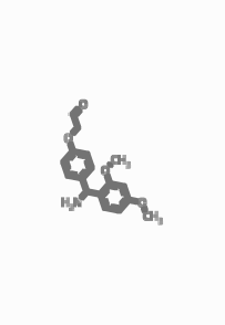 COc1ccc(C(N)c2ccc(OC[C]=O)cc2)c(OC)c1